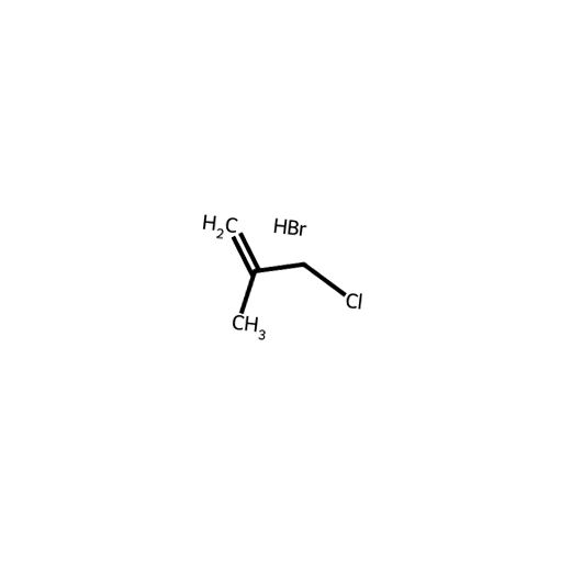 Br.C=C(C)CCl